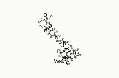 C=CC(=O)N1CCCCC(S(=O)(=O)c2ccc(N3CC(F)(CN4CCC(C(CN5CCC5)(c5cccc(F)c5)[C@H]5CCC[C@@H]5NC(=O)OC)CC4)C3)cc2)C1